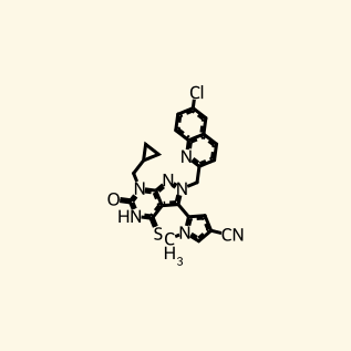 Cn1cc(C#N)cc1-c1c2c(=S)[nH]c(=O)n(CC3CC3)c2nn1Cc1ccc2cc(Cl)ccc2n1